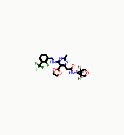 Cc1nc(CC(=O)N[C@H]2[C@@H]3COC[C@@H]32)c(C2OCCO2)c(NCc2cccc(C(F)(F)F)c2F)n1